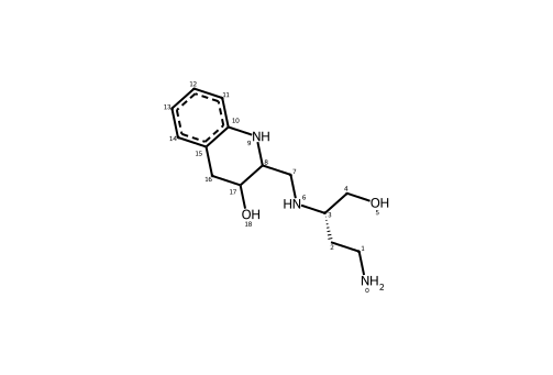 NCC[C@@H](CO)NCC1Nc2ccccc2CC1O